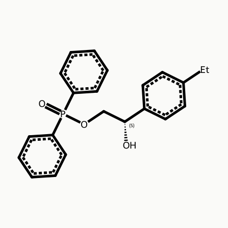 CCc1ccc([C@H](O)COP(=O)(c2ccccc2)c2ccccc2)cc1